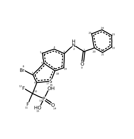 O=C(Nc1ccc2c(Br)c(C(F)(F)P(=O)(O)O)sc2c1)c1ccccc1